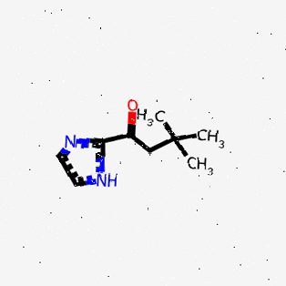 CC(C)(C)CC(=O)c1ncc[nH]1